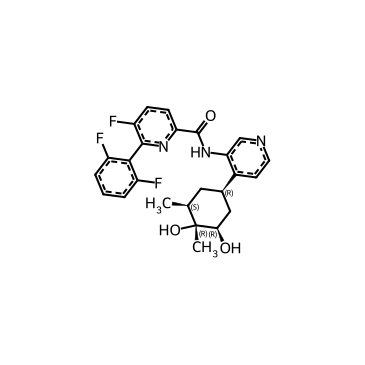 C[C@H]1C[C@@H](c2ccncc2NC(=O)c2ccc(F)c(-c3c(F)cccc3F)n2)C[C@@H](O)[C@]1(C)O